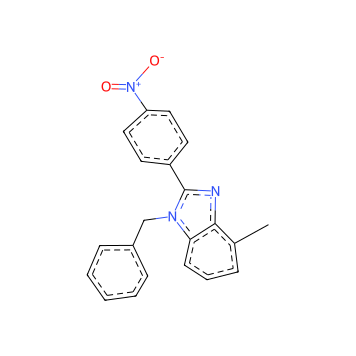 Cc1cccc2c1nc(-c1ccc([N+](=O)[O-])cc1)n2Cc1ccccc1